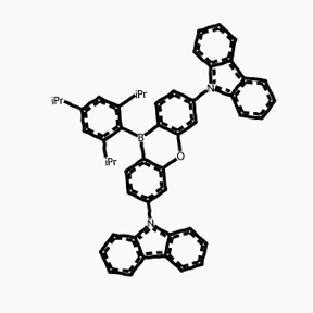 CC(C)c1cc(C(C)C)c(B2c3ccc(-n4c5ccccc5c5ccccc54)cc3Oc3cc(-n4c5ccccc5c5ccccc54)ccc32)c(C(C)C)c1